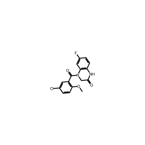 COc1ccc(Cl)cc1C(=O)N1CC(=O)Nc2ccc(F)cc21